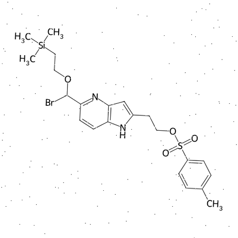 Cc1ccc(S(=O)(=O)OCCc2cc3nc(C(Br)OCC[Si](C)(C)C)ccc3[nH]2)cc1